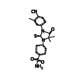 [C-]#[N+]c1ccc(N2C(=O)C(C)(C)N(c3ccc(S(N)(=O)=O)cc3)C2=S)cc1C